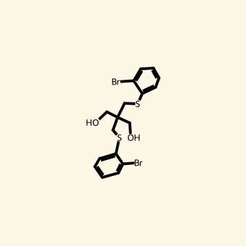 OCC(CO)(CSc1ccccc1Br)CSc1ccccc1Br